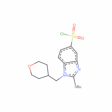 CCCCc1nc2cc(S(=O)(=O)Cl)ccc2n1CC1CCOCC1